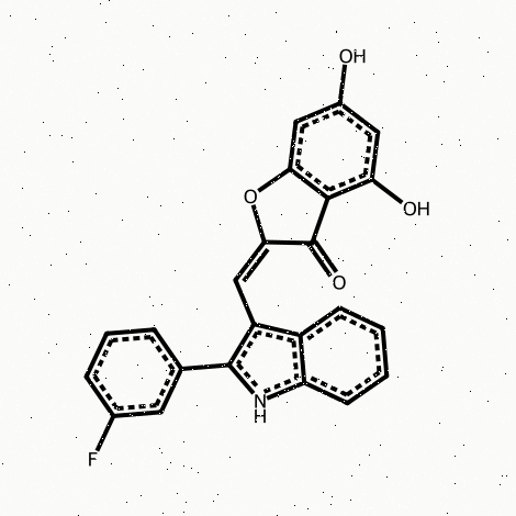 O=C1C(=Cc2c(-c3cccc(F)c3)[nH]c3ccccc23)Oc2cc(O)cc(O)c21